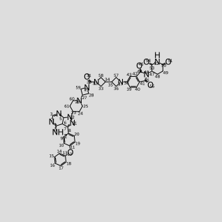 NC1=NC=NC2C1C(c1ccc(Oc3ccccc3)cc1)=NN2C1CCN(C2CN(C(=O)N3CC(C4CN(c5ccc6c(c5)C(=O)N(C5CCC(=O)NC5=O)C6=O)C4)C3)C2)CC1